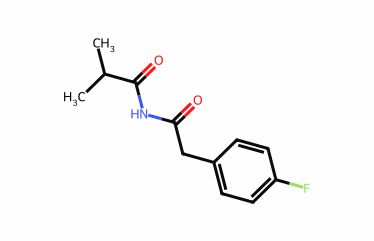 CC(C)C(=O)NC(=O)Cc1ccc(F)cc1